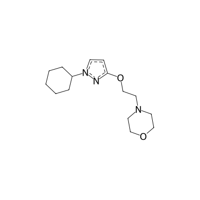 c1cn(C2CCCCC2)nc1OCCN1CCOCC1